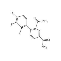 NC(=O)c1ccc(-c2ccc(F)c(F)c2F)c(C(N)=O)c1